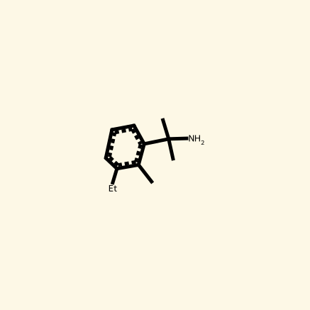 CCc1cccc(C(C)(C)N)c1C